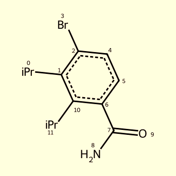 CC(C)c1c(Br)ccc(C(N)=O)c1C(C)C